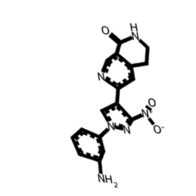 Nc1cccc(-n2cc(-c3cc4c(cn3)C(=O)NCC4)c([N+](=O)[O-])n2)c1